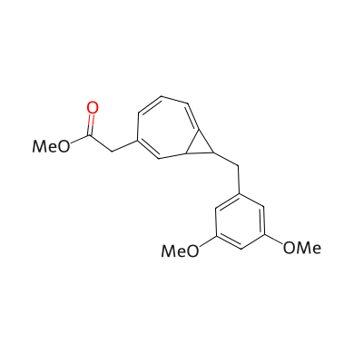 COC(=O)CC1=CC2C(=CC=C1)C2Cc1cc(OC)cc(OC)c1